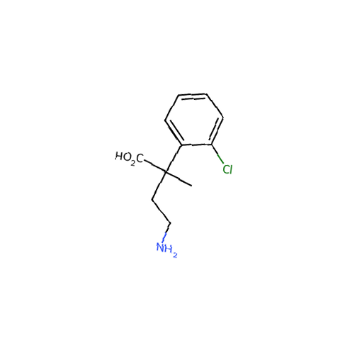 CC(CCN)(C(=O)O)c1ccccc1Cl